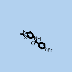 CCCc1ccc(C(=O)Nc2ccc3nc(C)sc3c2)cc1